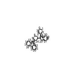 c1ccc(-n2c(-c3cccc(-n4c5ccccc5c5ccccc54)c3)cc3ccccc32)cc1